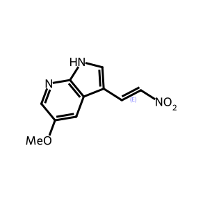 COc1cnc2[nH]cc(/C=C/[N+](=O)[O-])c2c1